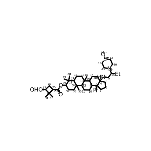 CCC(CNC12CCC[C@@H]1C1CCC3C(C)(CCC4C(C)(C)C(OC(=O)C5CC(C=O)C5(C)C)CCC43C)C1CC2)N1CC[S+]([O-])CC1